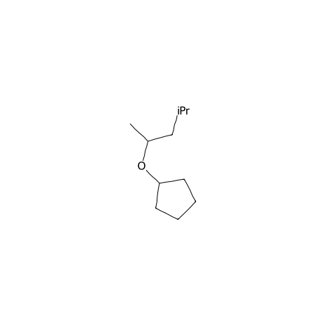 CC(C)CC(C)OC1CCCC1